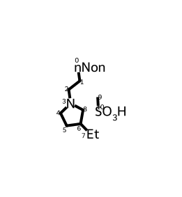 CCCCCCCCCCCN1CCC(CC)C1.CS(=O)(=O)O